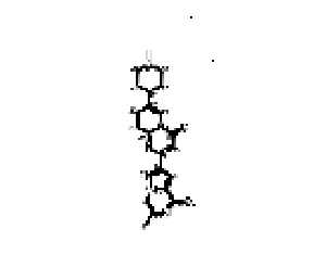 CCc1nc(C)cn2nc(-c3cc(=O)n4cc(C5CCNCC5)ccc4n3)cc12